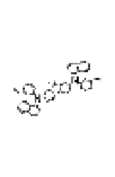 C=Cc1cccc(N(c2ccc3c(c2)C(C)(C)c2cc(N(c4cccc(C=C)c4)c4cccc5ccccc45)ccc2-3)c2cccc3ccccc23)c1